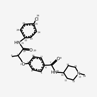 CC(Oc1ccc(C(=O)NC2CCN(C)CC2)cc1)C(=O)Nc1ccc(Cl)cc1